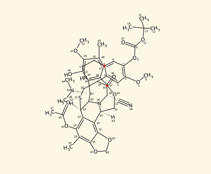 COc1cc2c(cc1OC(=O)OC(C)(C)C)CCN[C@]21CS[C@@H]2c3c(OC(C)=O)c(C)c4c(c3[C@H](COC1=O)N1C2[C@@H](N(C)C)c2c(cc(C)c(OC)c2O)C[C@@H]1C#N)OCO4